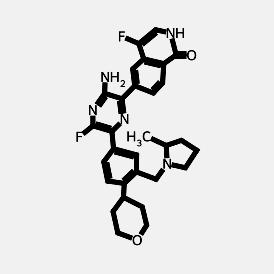 CC1CCCN1Cc1cc(-c2nc(-c3ccc4c(=O)[nH]cc(F)c4c3)c(N)nc2F)ccc1C1CCOCC1